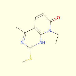 CCn1c2c(ccc1=O)C(C)=NC(SC)N2